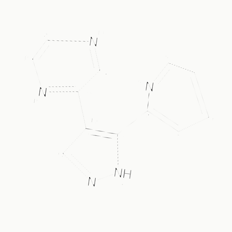 [c]1n[nH]c(-c2ccccn2)c1-c1cnccn1